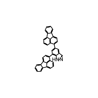 c1ccc2c(c1)-c1cccc3c(-c4cc(-c5ccc6c7c(cccc57)-c5ccccc5-6)c5[nH]ncc5c4)ccc-2c13